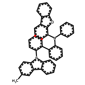 Cc1ccc2c(c1)c1ccccc1n2-c1ccccc1-c1ccccc1N(c1ccccc1)c1cccc2c1oc1ccccc12